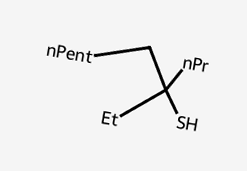 CCCCCCC(S)(CC)CCC